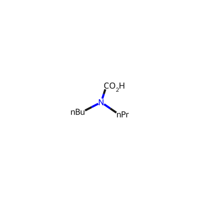 [CH2]CCCN(CCC)C(=O)O